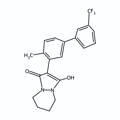 Cc1ccc(-c2cccc(C(F)(F)F)c2)cc1-c1c(O)n2n(c1=O)CCCC2